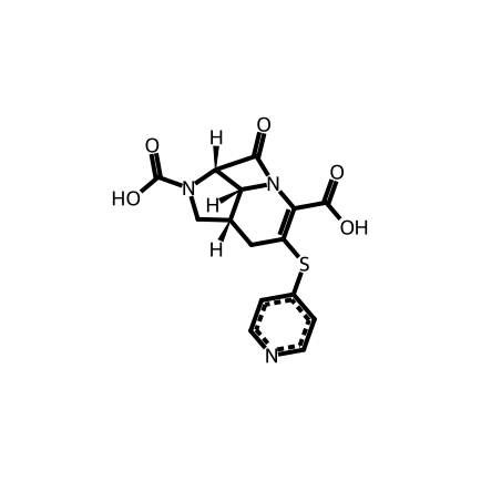 O=C(O)C1=C(Sc2ccncc2)C[C@@H]2CN(C(=O)O)[C@@H]3C(=O)N1[C@H]23